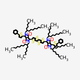 CCCCCCCCC(CCCCC)CN1C(=O)C2=C(c3cc4sc5c6sc(C7=C8C(=O)N(CC(CCCCCC)CCCCCCCC)C(c9ccc(-c%10ccccc%10)s9)=C8C(=O)N7CC(CCCCCC)CCCCCCCC)cc6sc5c4s3)N(CC(CCCCCC)CCCCCCCC)C(=O)C2=C1c1ccc(-c2ccccc2)s1